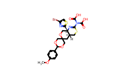 COc1ccc(C2OCC3(CO2)C[C@H]2CSC(N(C(=O)O)C(=O)O)=N[C@@]2(c2nc(Br)cs2)CO3)cc1